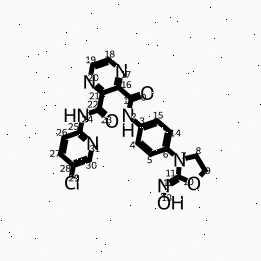 O=C(Nc1ccc(N2CCOC2=NO)cc1)c1nccnc1C(=O)Nc1ccc(Cl)cn1